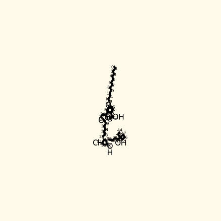 CCCCCCCCCCCCCCOc1ccc(C(=O)O)c(C(CC)OC(=O)CCCC=CC[C@@H]2[C@@H](C=CC[C@H](O)C3(CC)CCC3)[C@H](O)C[C@H]2Cl)c1